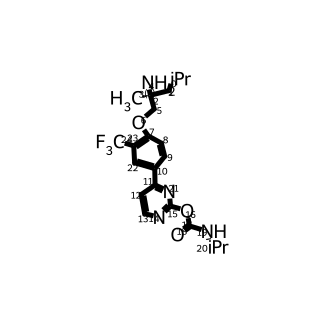 CC(C)C[C@](C)(N)COc1ccc(-c2ccnc(OC(=O)NC(C)C)n2)cc1C(F)(F)F